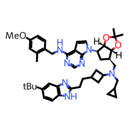 COc1ccc(CNc2ncnc3c2ccn3[C@@H]2C[C@H](CN(CC3CC3)C3CC(CCc4nc5cc(C(C)(C)C)ccc5[nH]4)C3)[C@H]3OC(C)(C)O[C@H]32)c(C)c1